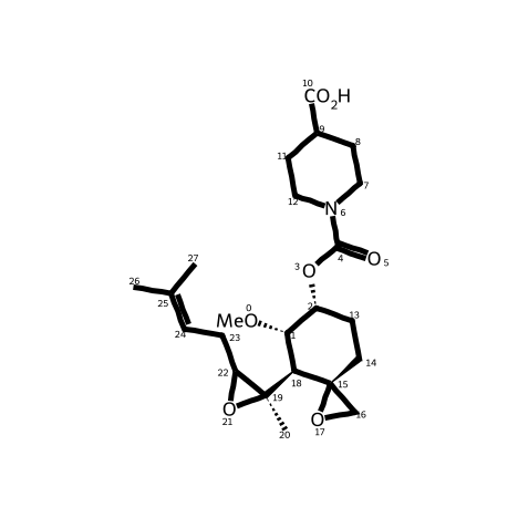 CO[C@@H]1[C@H](OC(=O)N2CCC(C(=O)O)CC2)CC[C@]2(CO2)[C@H]1[C@@]1(C)OC1CC=C(C)C